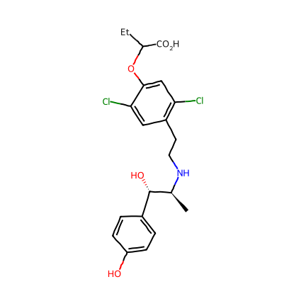 CCC(Oc1cc(Cl)c(CCN[C@@H](C)[C@@H](O)c2ccc(O)cc2)cc1Cl)C(=O)O